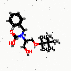 CC(C)(C)[Si](C)(C)OCC(CO)N(Cc1ccccc1)C(=O)O